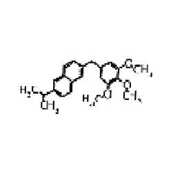 COc1cc(Cc2ccc3cc(C(C)C)ccc3c2)cc(OC)c1OC